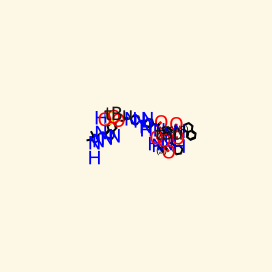 Cc1[nH]nc(Nc2ncnc3cc(OCCN4CCN(c5ncc(C(=O)N[C@H]6C[C@@H](C(=O)N[C@@H]7CCCc8ccccc87)N(C(=O)C(NC(=O)[C@H](C)N(C)C(=O)OC(C)(C)C)C7CCCCC7)C6)cn5)CC4)c(S(=O)(=O)C(C)(C)C)cc23)c1C